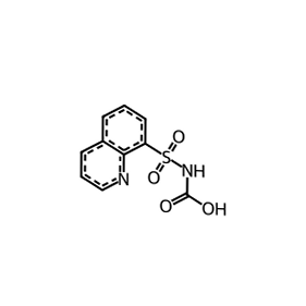 O=C(O)NS(=O)(=O)c1cccc2cccnc12